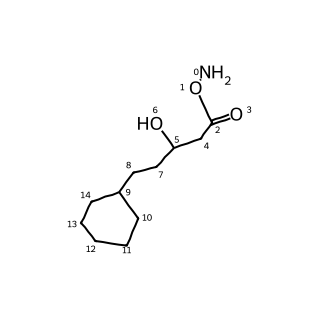 NOC(=O)CC(O)CCC1CCCCC1